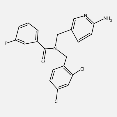 Nc1ccc(CN(Cc2ccc(Cl)cc2Cl)C(=O)c2cccc(F)c2)cn1